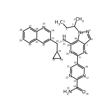 CCC(C)n1ncc2nc(-c3cnc(C(N)=O)nc3)nc(N[C@@H](c3cnc4ccccc4c3)C3CC3)c21